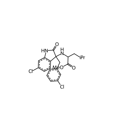 COC(=O)C(CC(C)C)NC1(Cc2cccc(Cl)c2)C(=O)Nc2cc(Cl)ccc21